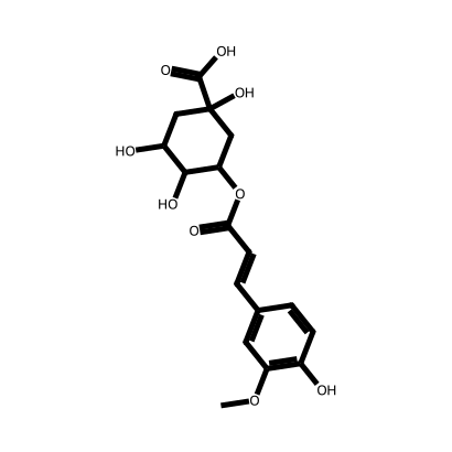 COc1cc(/C=C/C(=O)OC2CC(O)(C(=O)O)CC(O)C2O)ccc1O